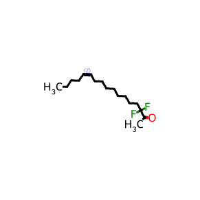 CCCC/C=C\CCCCCCCCC(F)(F)C(C)=O